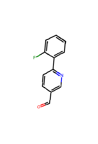 O=Cc1ccc(-c2ccccc2F)nc1